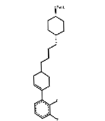 CCCCC[C@H]1CC[C@H](CCCCC2CC=C(c3cccc(F)c3F)CC2)CC1